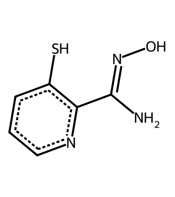 NC(=NO)c1ncccc1S